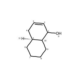 OC1C=CC[C@@H]2CCCCC12